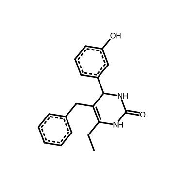 CCC1=C(Cc2ccccc2)C(c2cccc(O)c2)NC(=O)N1